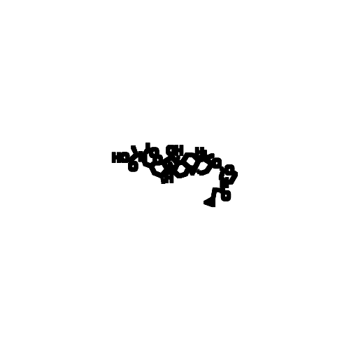 CC(=O)N(CC1C[C@@H](C)[C@H]2C(O1)[C@H](O)[C@@]1(C)C3CC[C@H]4C(C)(C)[C@@H](O[C@H]5CN(C(=O)CC6CC6)CCO5)CC[C@@]45CC35CC[C@]21C)[C@H](C)C(=O)O